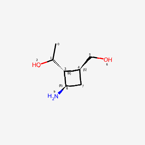 CC(O)[C@@H]1[C@@H](CO)C[C@H]1N